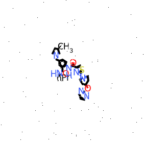 CCCNC(=O)c1cc(CN2CC[C@@H](C)C2)ccc1NC(=O)c1csc(N2CCC(Oc3ncccn3)CC2)n1